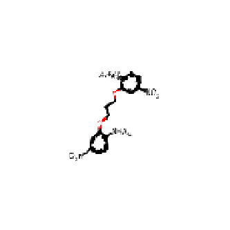 CC(=O)Nc1ccc([N+](=O)[O-])cc1OCCCOc1cc([N+](=O)[O-])ccc1NC(C)=O